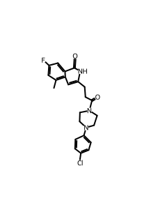 Cc1cc(F)cc2c(=O)[nH]c(CCC(=O)N3CCN(c4ccc(Cl)cc4)CC3)cc12